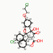 O=C(O)[C@H]1C(=O)[C@@]2(O)c3ccc(OCCCl)cc3O[C@@]2(c2ccc(Cl)cc2)[C@@H]1c1ccccc1